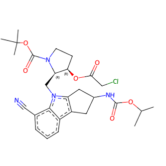 CC(C)OC(=O)NC1Cc2c(n(C[C@@H]3[C@H](OC(=O)CCl)CCN3C(=O)OC(C)(C)C)c3c(C#N)cccc23)C1